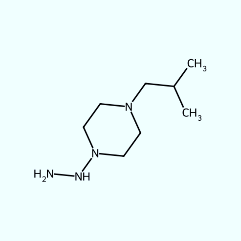 CC(C)CN1CCN(NN)CC1